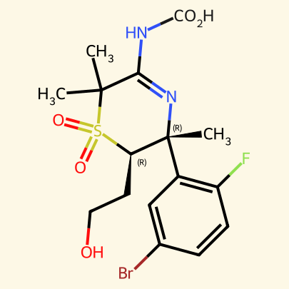 CC1(C)C(NC(=O)O)=N[C@](C)(c2cc(Br)ccc2F)[C@@H](CCO)S1(=O)=O